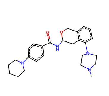 CN1CCN(c2cccc3c2CC(NC(=O)c2ccc(N4CCCCC4)cc2)OC3)CC1